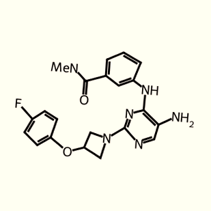 CNC(=O)c1cccc(Nc2nc(N3CC(Oc4ccc(F)cc4)C3)ncc2N)c1